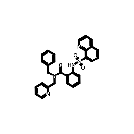 O=C(c1ccccc1NS(=O)(=O)c1cccc2cccnc12)N(Cc1ccccc1)Cc1ccccn1